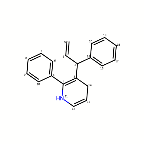 C=CC(C1=C(c2ccccc2)NC=CC1)c1ccccc1